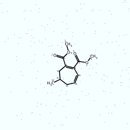 COC(=O)C1=C(C(=O)OC)CC(C)CC=C1